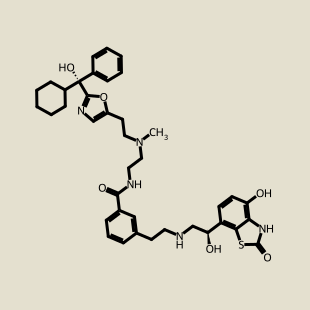 CN(CCNC(=O)c1cccc(CCNC[C@H](O)c2ccc(O)c3[nH]c(=O)sc23)c1)CCc1cnc([C@](O)(c2ccccc2)C2CCCCC2)o1